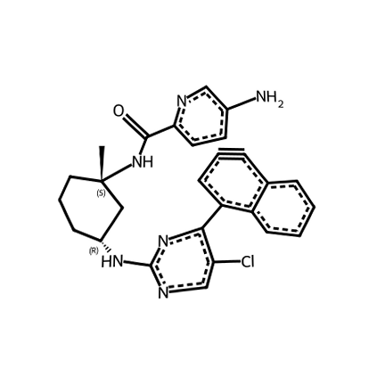 C[C@]1(NC(=O)c2ccc(N)cn2)CCC[C@@H](Nc2ncc(Cl)c(-c3cc#cc4ccccc34)n2)C1